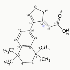 CC1(C)CCC(C)(C)c2cc(C3=CCC/C3=C\C(=O)O)ccc21